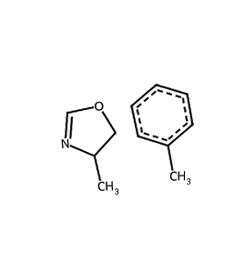 CC1COC=N1.Cc1ccccc1